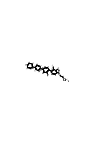 CCCNc1ccc(-c2ccc(-c3ccc(-c4ccccc4)cc3)cc2F)c(F)c1F